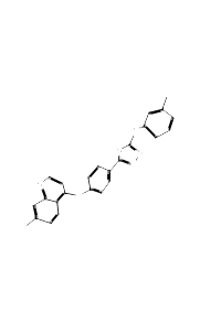 Cc1cccc(Nc2nnc(-c3ccc(Oc4ccnc5cc(C)ccc45)cc3)[nH]2)c1